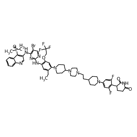 CCc1cc(Nc2ncc(Br)c(Nc3cnc4ccccc4c3P(C)(C)=O)n2)c(OCC(F)(F)F)cc1N1CCC(N2CCN(CCC3CCN(c4cc(F)c(C5CCC(=O)NC5=O)c(F)c4)CC3)CC2)CC1